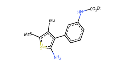 CCOC(=O)Nc1cccc(-c2c(N)sc(SC)c2C(C)(C)C)c1